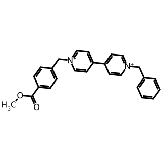 COC(=O)c1ccc(C[n+]2ccc(-c3cc[n+](Cc4ccccc4)cc3)cc2)cc1